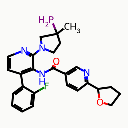 CC1(P)CCN(c2nccc(-c3ccccc3F)c2NC(=O)c2ccc(C3CCCO3)nc2)C1